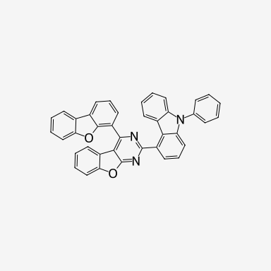 c1ccc(-n2c3ccccc3c3c(-c4nc(-c5cccc6c5oc5ccccc56)c5c(n4)oc4ccccc45)cccc32)cc1